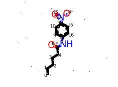 [CH2]CCC[CH]C(=O)Nc1ccc([N+](=O)[O-])cc1